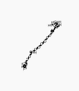 CC(=O)N[C@H]1[C@H](OCCc2cn(CCOCCOCCOCCOCCOCCOCCNC(=O)CCOCCOCCC(=O)Oc3c(F)c(F)c(F)c(F)c3F)nn2)O[C@H](CO)[C@H](O)[C@@H]1O